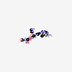 CC(C)c1ccccc1[C@@H]1CN(Cc2cnn(C(C)C)c2)CCN1C1CC2(CCN(c3cc(Oc4cnc5[nH]ccc5c4)c(C(=O)NS(=O)(=O)c4ccc(NCC5(F)CCOCC5)c([N+](=O)[O-])c4)cc3F)CC2)C1